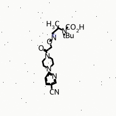 CC(/C=N/OCC(=O)N1CCN(c2ccc(C#N)cn2)CC1)N(C(=O)O)C(C)(C)C